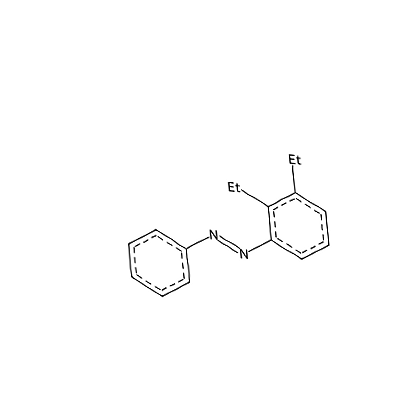 CCc1cccc(N=Nc2ccccc2)c1CC